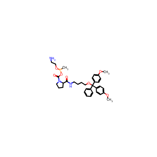 COc1ccc(C(OCCCCNC(=O)C2CCCN2C(=O)OP(C)OCCN)(c2ccccc2)c2ccc(OC)cc2)cc1